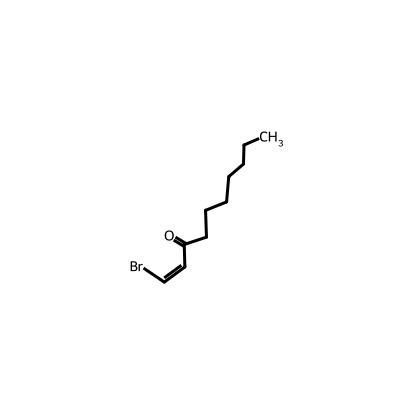 CCCCCCCC(=O)/C=C\Br